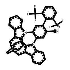 Cc1ccc2c(c1)c1ccccc1n2-c1cc(C#N)c(-c2c(C(F)(F)F)cccc2C(F)(F)F)cc1-n1c2ccccc2c2cc(C)ccc21